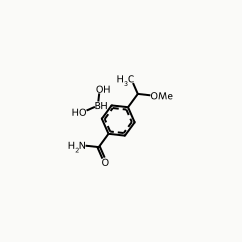 COC(C)c1ccc(C(N)=O)cc1.OBO